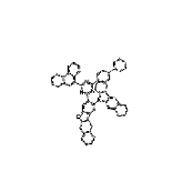 c1ccc(-c2ccc(-c3nc(-c4cc5oc6cc7ccccc7cc6c5cc4-n4c5ccccc5c5cc6ccccc6cc54)nc(-c4cc5ccccc5c5ccccc45)n3)cc2)cc1